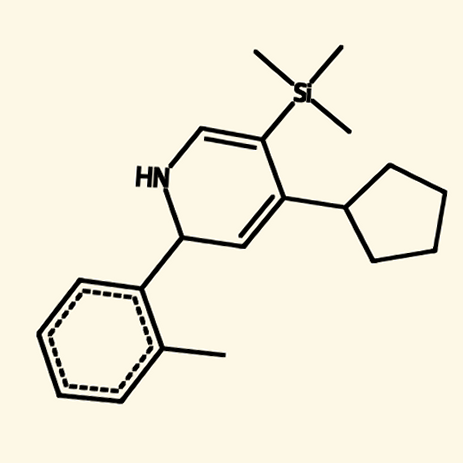 Cc1ccccc1C1C=C(C2CCCC2)C([Si](C)(C)C)=CN1